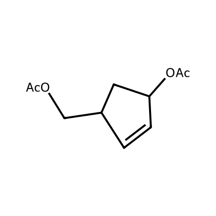 CC(=O)OCC1C=CC(OC(C)=O)C1